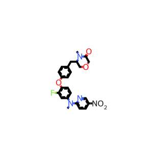 CN(c1ccc(Oc2ccc(CC3COCC(=O)N3C)cc2)c(F)c1)c1ccc([N+](=O)[O-])cn1